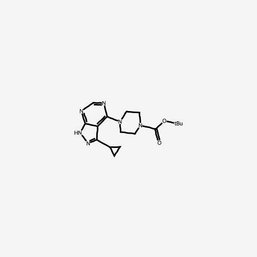 CC(C)(C)OC(=O)N1CCN(c2ncnc3[nH]nc(C4CC4)c23)CC1